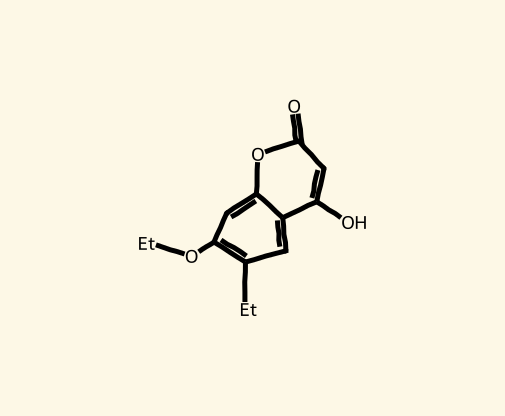 CCOc1cc2oc(=O)cc(O)c2cc1CC